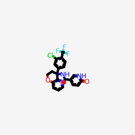 O=C(NC1(c2ccc(C(F)(F)F)c(Cl)c2)CCOc2cccnc21)c1ccc(=O)[nH]c1